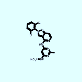 Cc1nc(NC(=O)O)cc(Nc2nccc3nn(-c4c(Cl)cccc4Cl)cc23)n1